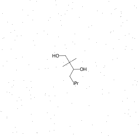 CC(C)CC(O)C(C)(C)CO